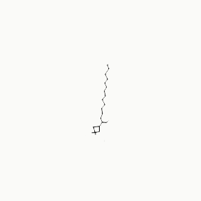 [CH2]CCCCCCCCCCCCCC(CC)[C]1CC(C)(C)C1